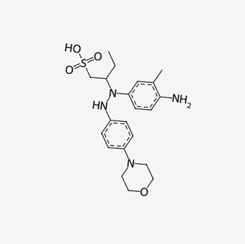 CCC(CS(=O)(=O)O)N(Nc1ccc(N2CCOCC2)cc1)c1ccc(N)c(C)c1